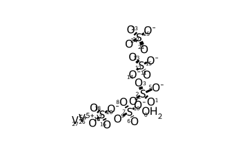 O.O=S(=O)([O-])[O-].O=S(=O)([O-])[O-].O=S(=O)([O-])[O-].O=S(=O)([O-])[O-].O=S(=O)([O-])[O-].[V+5].[V+5]